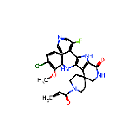 C=CC(=O)N1CCC2(CC1)CNC(=O)c1[nH]c(-c3ccncc3F)c(Nc3cccc(Cl)c3OC)c12